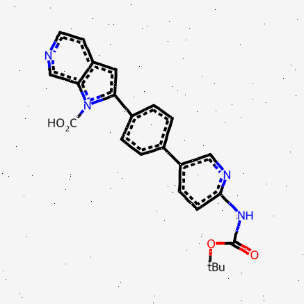 CC(C)(C)OC(=O)Nc1ccc(-c2ccc(-c3cc4ccncc4n3C(=O)O)cc2)cn1